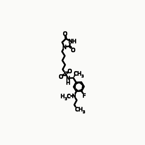 CCCN(C)c1cc([C@@H](C)NS(=O)(=O)CCCCCN2CC(=O)NC2=O)ccc1F